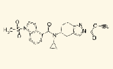 CC(C)(C)OC(=O)n1cc2c(n1)CCC(N(C(=O)c1cccc3c1ccn3S(C)(=O)=O)C1CC1)C2